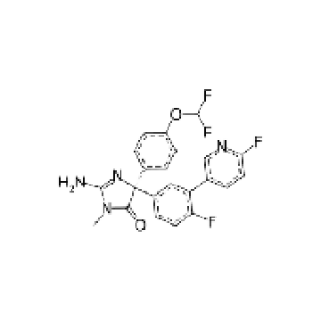 CN1C(=O)[C@](c2ccc(OC(F)F)cc2)(c2ccc(F)c(-c3ccc(F)nc3)c2)N=C1N